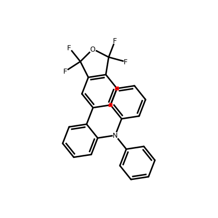 FC1(F)OC(F)(F)c2cc(-c3ccccc3N(c3ccccc3)c3ccccc3)ccc21